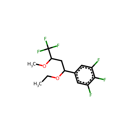 CCOC(CC(OC)C(F)(F)F)c1cc(F)c(F)c(F)c1